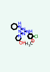 COc1ccc(Nc2nc(NC3CCCCCC3)nc(N3CCCC(O)C3)n2)cc1Cl